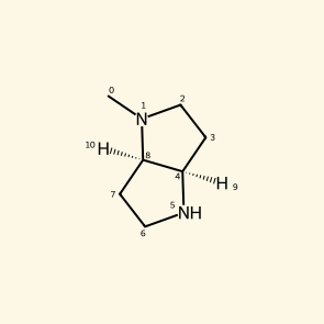 CN1CC[C@H]2NCC[C@H]21